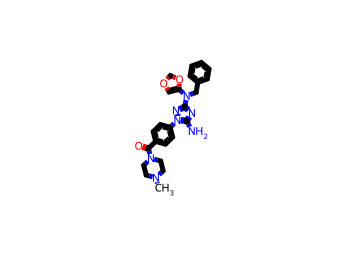 CN1CCN(C(=O)c2ccc(-n3nc(N(Cc4ccccc4)C4=COCO4)nc3N)cc2)CC1